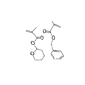 C=C(C)C(=O)OC1CCCCO1.C=C(C)C(=O)OCc1ccccc1